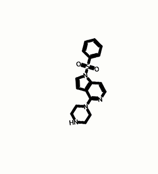 O=S(=O)(c1ccccc1)n1ccc2c(N3CCNCC3)nccc21